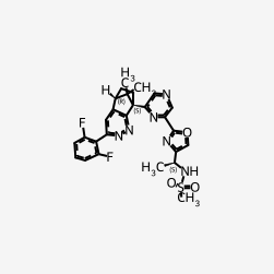 C[C@H](NS(C)(=O)=O)c1coc(-c2cncc([C@@]34CC[C@@H](c5cc(-c6c(F)cccc6F)nnc53)C4(C)C)n2)n1